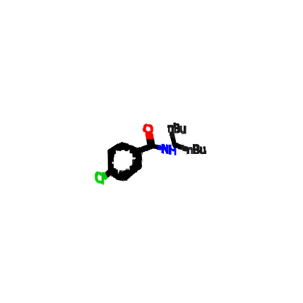 CCCCC(CCCC)NC(=O)c1ccc(Cl)cc1